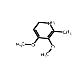 COC1=CCNC(C)=C1OC